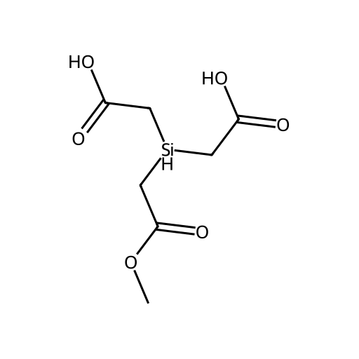 COC(=O)C[SiH](CC(=O)O)CC(=O)O